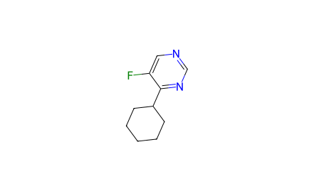 Fc1cncnc1C1CCCCC1